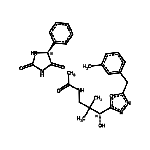 CC(=O)NCC(C)(C)[C@@H](O)c1nnc(Cc2cccc(C)c2)o1.O=C1NC(=O)[C@H](c2ccccc2)N1